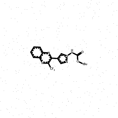 CC(C)(C)OC(=O)Nn1cc(-c2nc3ccccc3nc2C(F)(F)F)cn1